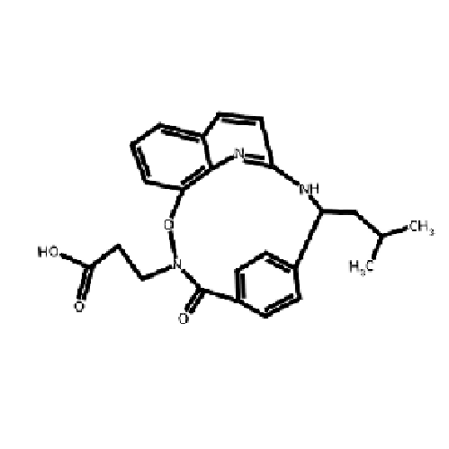 CC(C)CC1Nc2ccc3cccc(c3n2)ON(CCC(=O)O)C(=O)c2ccc1cc2